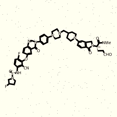 CNC(=O)[C@H](CCC=O)N1Cc2cc(N3CCC(CN4CCN(c5ccc(-n6cnc7ccc(Oc8c(F)ccc(N[S+]([O-])N9CCC(F)C9)c8C#N)cc7c6=O)cc5)CC4)CC3)ccc2C1=O